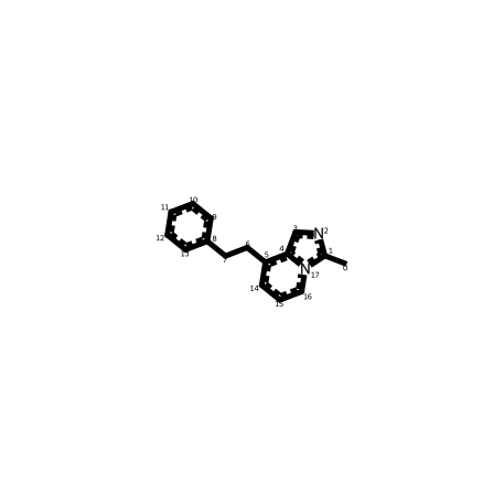 Cc1ncc2c(CCc3ccccc3)cccn12